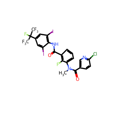 CN(C(=O)c1ccc(Cl)nc1)c1cccc(C(=O)Nc2c(I)cc(C(F)(C(F)(F)F)C(F)(F)F)cc2I)c1F